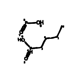 CCCC[PH](=O)O.O=PO